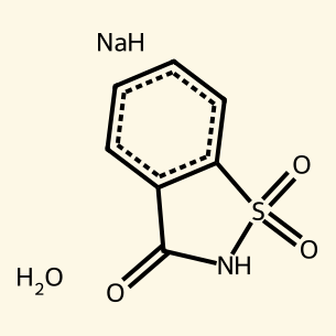 O.O=C1NS(=O)(=O)c2ccccc21.[NaH]